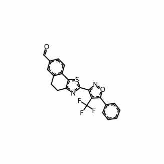 O=Cc1ccc2c(c1)CCc1nc(-c3noc(-c4ccccc4)c3C(F)(F)F)sc1-2